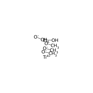 CCO.C[O-].C[O-].C[O-].C[O-].[Ti+4]